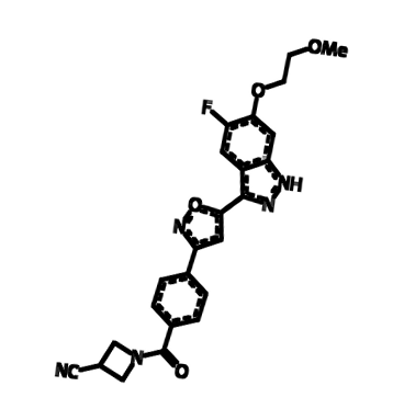 COCCOc1cc2[nH]nc(-c3cc(-c4ccc(C(=O)N5CC(C#N)C5)cc4)no3)c2cc1F